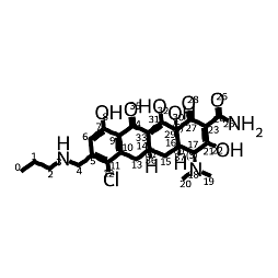 CCCNCc1cc(O)c2c(c1Cl)C[C@H]1C[C@H]3[C@H](N(C)C)C(O)=C(C(N)=O)C(=O)[C@@]3(O)C(O)=C1C2=O